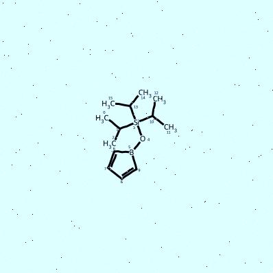 CC(C)[Si](OB1[C]=CC=C1)(C(C)C)C(C)C